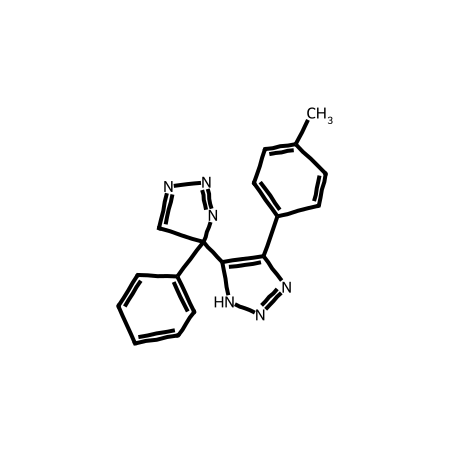 Cc1ccc(-c2nn[nH]c2C2(c3ccccc3)C=NN=N2)cc1